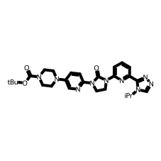 CC(C)n1cnnc1-c1cccc(N2CCN(c3ccc(N4CCN(C(=O)OC(C)(C)C)CC4)cn3)C2=O)n1